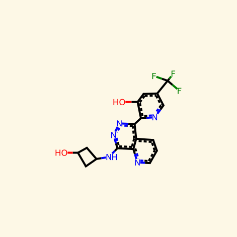 Oc1cc(C(F)(F)F)cnc1-c1nnc(NC2CC(O)C2)c2ncccc12